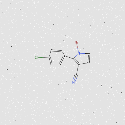 N#Cc1ccn(Br)c1-c1ccc(Cl)cc1